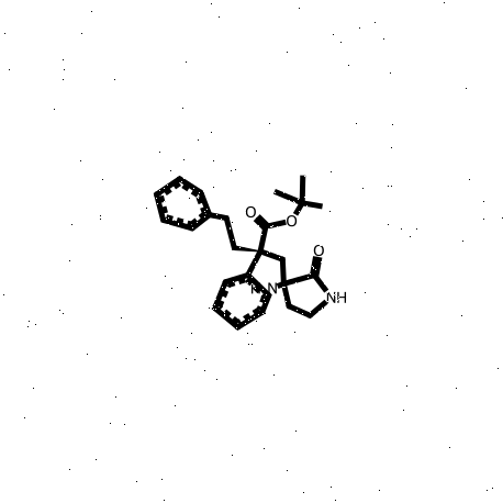 CC(C)(C)OC(=O)[C@](CCc1ccccc1)(CC1(N)CCNC1=O)c1ccccc1